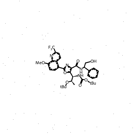 COc1ccc(-c2nc(C(=O)NC(CO)c3ccccc3)c([C@@H](NC(=O)OC(C)(C)C)[C@@H](C)OC(C)(C)C)o2)c2ccc(C(F)(F)F)nc12